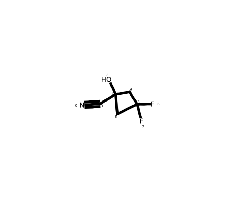 N#CC1(O)CC(F)(F)C1